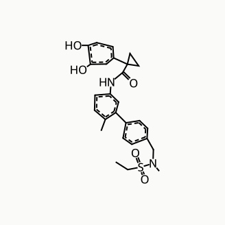 CCS(=O)(=O)N(C)Cc1ccc(-c2cc(NC(=O)C3(c4ccc(O)c(O)c4)CC3)ccc2C)cc1